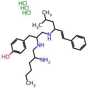 CCCCC(N)CNC(CNC(C=Cc1ccccc1)CC(C)C)Cc1ccc(O)cc1.Cl.Cl.Cl